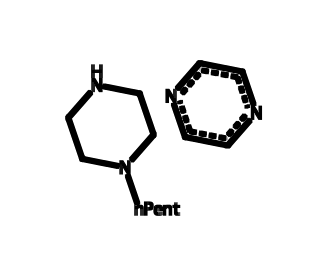 CCCCCN1CCNCC1.c1cnccn1